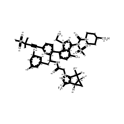 CC(C)(C#Cc1ccc(-c2ccc(Cl)c3c(N(C(=O)N4CCC(C(=O)O)CC4)S(C)(=O)=O)nn(CC(F)(F)F)c23)c([C@H](Cc2cc(F)cc(F)c2)NC(=O)Cn2nc(C(F)(F)F)c3c2C(F)(F)[C@@H]2C[C@H]32)n1)S(C)(=O)=O